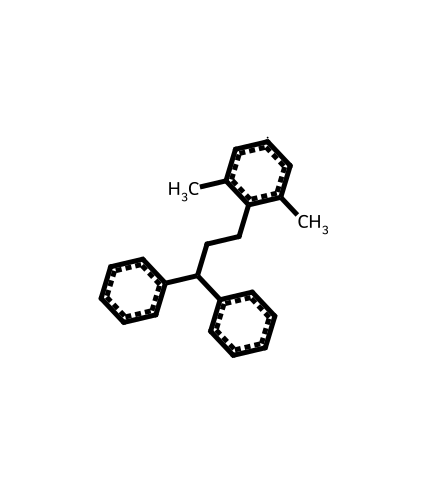 Cc1c[c]cc(C)c1CCC(c1ccccc1)c1ccccc1